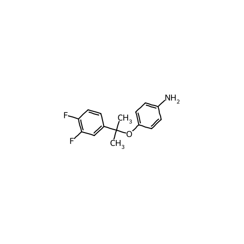 CC(C)(Oc1ccc(N)cc1)c1ccc(F)c(F)c1